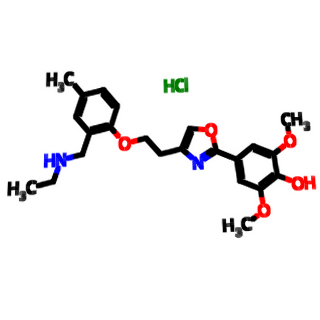 CCNCc1cc(C)ccc1OCCc1coc(-c2cc(OC)c(O)c(OC)c2)n1.Cl